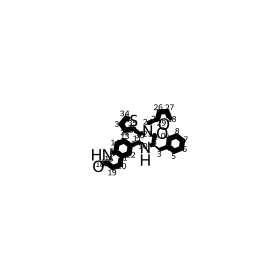 O=C([C@@H](Cc1ccccc1)NCc1ccc2[nH]c(=O)ccc2c1)N(Cc1ccco1)Cc1cccs1